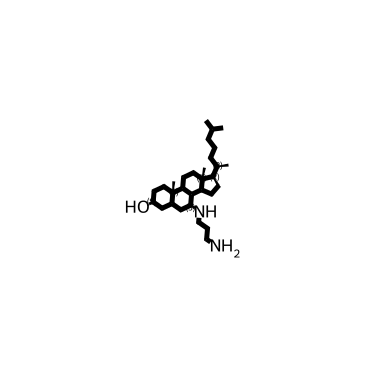 CC(C)CCC[C@@H](C)[C@H]1CCC2C3C(CC[C@@]21C)[C@@]1(C)CC[C@H](O)CC1C[C@@H]3NCCCN